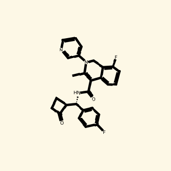 CC1=C(C(=O)N[C@H](c2ccc(F)cc2)C2CCC2=O)c2cccc(F)c2CN1c1cccnc1